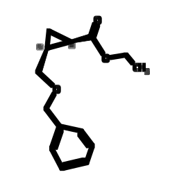 CCOC(=O)[C@@H]1C[C@@H]1COCc1ccccc1